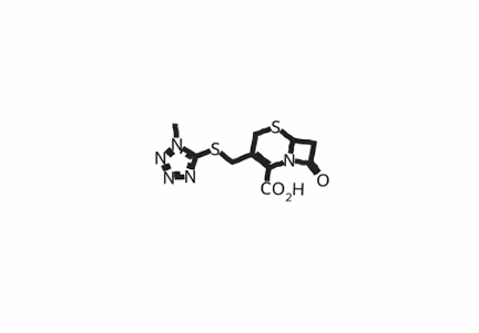 Cn1nnnc1SCC1=C(C(=O)O)N2C(=O)CC2SC1